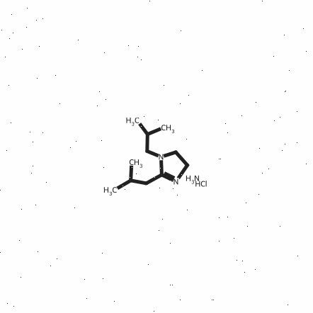 CC(C)CC1=NCCN1CC(C)C.Cl.N